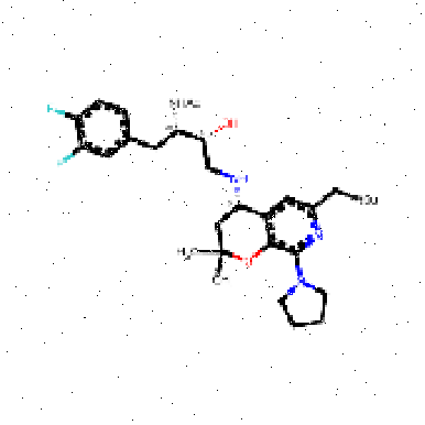 CC(=O)N[C@@H](Cc1ccc(F)c(F)c1)[C@H](O)CN[C@H]1CC(C)(C)Oc2c1cc(CC(C)(C)C)nc2N1CCCC1